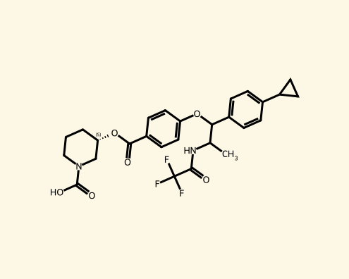 CC(NC(=O)C(F)(F)F)C(Oc1ccc(C(=O)O[C@H]2CCCN(C(=O)O)C2)cc1)c1ccc(C2CC2)cc1